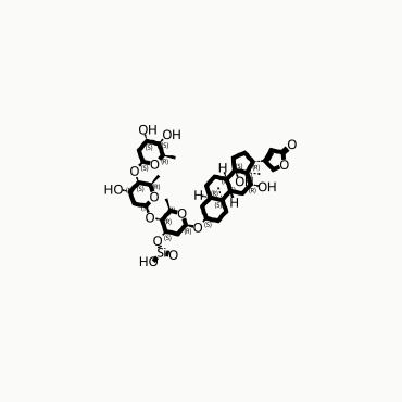 C[C@H]1O[C@@H](O[C@H]2[C@@H](O)C[C@H](O[C@H]3[C@@H](O[Si](=O)O)C[C@H](O[C@H]4CC[C@@]5(C)[C@H](CC[C@@H]6[C@@H]5C[C@@H](O)[C@]5(C)[C@@H](C7=CC(=O)OC7)CC[C@]65O)C4)O[C@@H]3C)O[C@@H]2C)C[C@H](O)[C@@H]1O